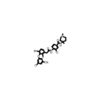 CN1CCC(C)(NC(=O)c2ccc(NC(=O)Cc3ccc(Br)c(Oc4cc(Cl)cc(C#N)c4)c3F)c(Cl)c2)CC1